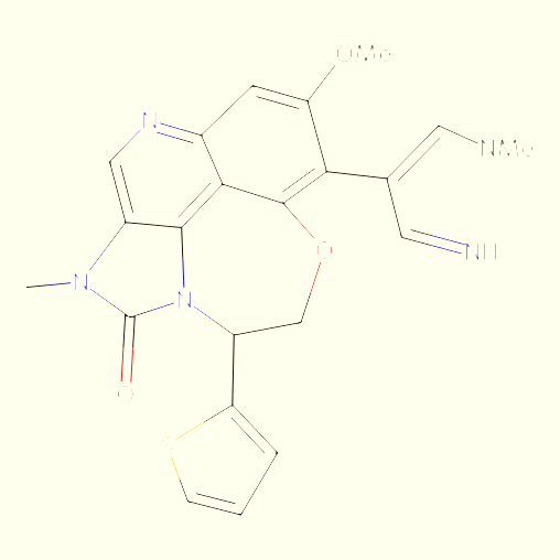 CN/C=C(\C=N)c1c(OC)cc2ncc3c4c2c1OCC(c1cccs1)n4c(=O)n3C